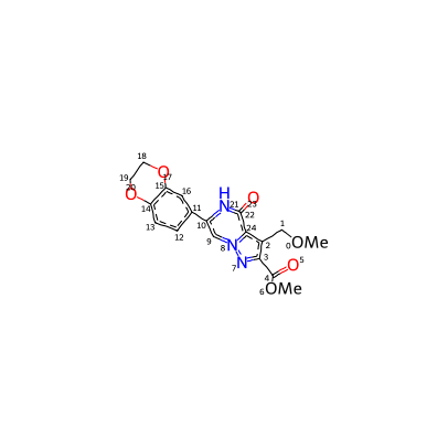 COCc1c(C(=O)OC)nn2cc(-c3ccc4c(c3)OCCO4)[nH]c(=O)c12